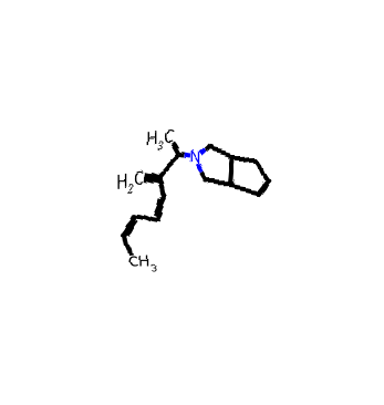 C=C(/C=C\C=C/C)C(C)N1CC2CCCC2C1